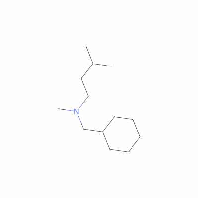 CC(C)CCN(C)CC1CCCCC1